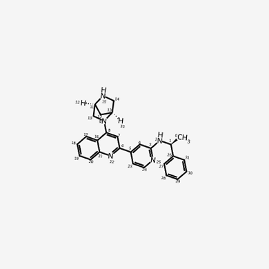 C[C@H](Nc1cc(-c2cc(N3C[C@@H]4C[C@H]3CN4)c3ccccc3n2)ccn1)c1ccccc1